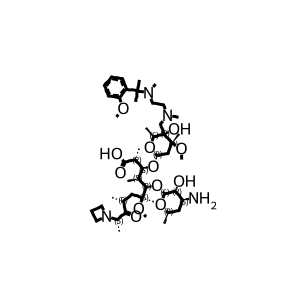 COc1ccccc1C(C)(C)N(C)CCN(C)C[C@@]1(O)[C@H](C)O[C@@H](O[C@@H]([C@H](C)[C@@H](O[C@@H]2O[C@H](C)C[C@H](N)[C@H]2O)[C@](C)(C[C@@H](C)C(=O)[C@H](C)N2CCC2)OC)[C@@H](C)C(=O)O)C[C@@]1(C)OC